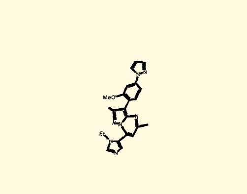 CCn1cncc1-c1cc(C)nc2c(-c3ccc(-n4cccn4)cc3OC)c(C)nn12